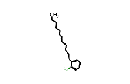 CCCCCCCCCCCCc1ccccc1Br